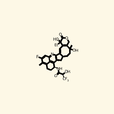 CCC1(O)C(=O)OCC2=C1/C=C1/c3nc4cc(F)c(C)c5c4c(c3CC1CCC2(C)O)[C@@H](NC(=O)[C@@H](O)C(F)(F)F)CC5